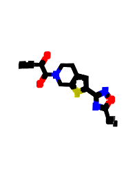 CNC(=O)C(=O)N1CCc2cc(-c3noc(C(F)(F)F)n3)sc2C1